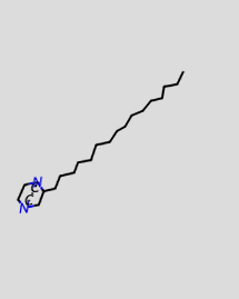 CCCCCCCCCCCCCCCCC1CN2CCN1CC2